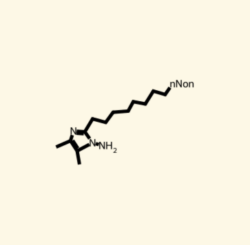 CCCCCCCCCCCCCCCCCc1nc(C)c(C)n1N